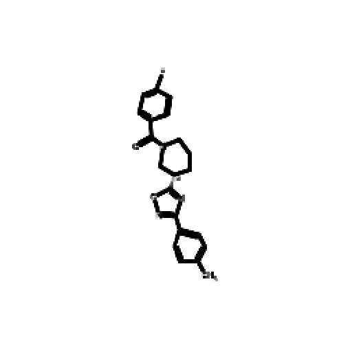 Cc1ccc(-c2noc([C@H]3CCCN(C(=O)c4ccc(F)cc4)C3)n2)cc1